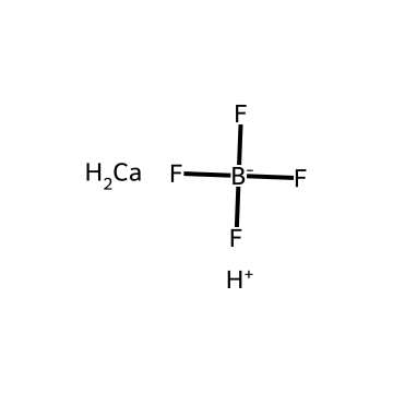 F[B-](F)(F)F.[CaH2].[H+]